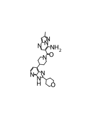 Cc1cc2ncc(C(=O)N3CCC(c4ccnc5[nH]c(C6CCOCC6)nc45)CC3)c(N)n2n1